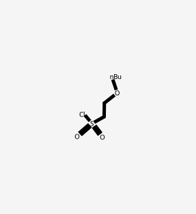 CCCCOCCS(=O)(=O)Cl